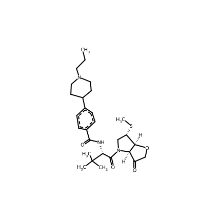 CCCN1CCC(c2ccc(C(=O)N[C@H](C(=O)N3C[C@H](SC)[C@H]4OCC(=O)[C@H]43)C(C)(C)C)cc2)CC1